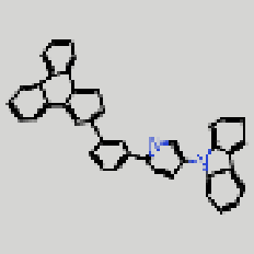 c1cc(-c2ccc3c4ccccc4c4ccccc4c3c2)cc(-c2ccc(-n3c4ccccc4c4ccccc43)cn2)c1